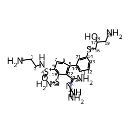 NCCN[S+]([O-])c1ccc(-c2cccc(SCC(O)CN)c2)c(/C(N)=N/NN)c1SN